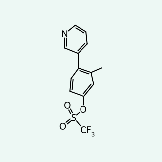 Cc1cc(OS(=O)(=O)C(F)(F)F)ccc1-c1cccnc1